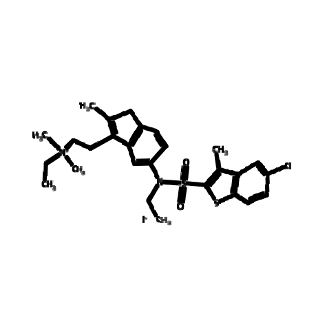 CCN(c1ccc2c(c1)C(CC[N+](C)(C)CC)=C(C)C2)S(=O)(=O)c1sc2ccc(Cl)cc2c1C.[I-]